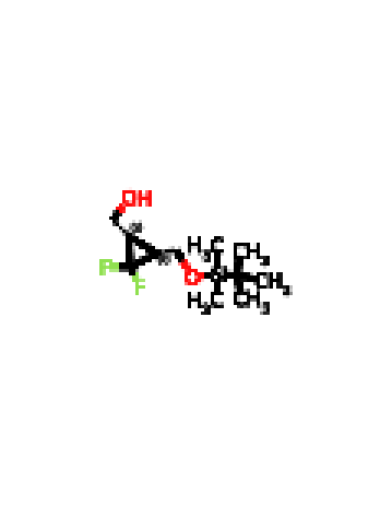 CC(C)(C)[Si](C)(C)OC[C@H]1[C@@H](CO)C1(F)F